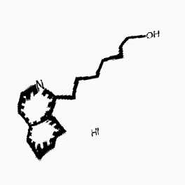 I.OCCCCCCc1nccc2ccccc12